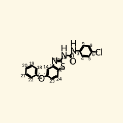 O=C(Nc1ccc(Cl)cc1)Nc1nc2cc(Oc3ccccc3)ccc2s1